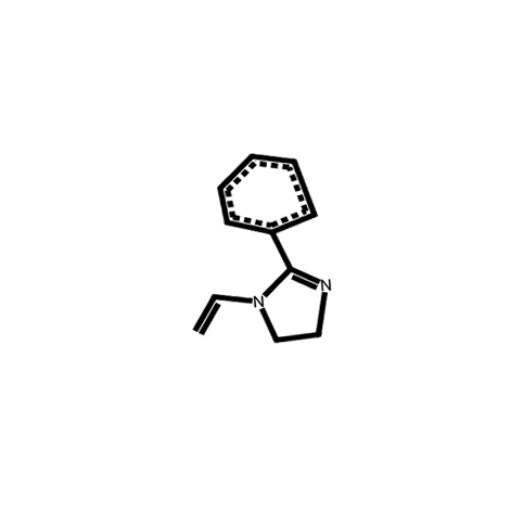 C=CN1CCN=C1c1ccccc1